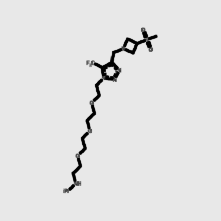 CC(C)NCCOCCOCCOCCn1nnc(CN2CC(S(C)(=O)=O)C2)c1C(F)(F)F